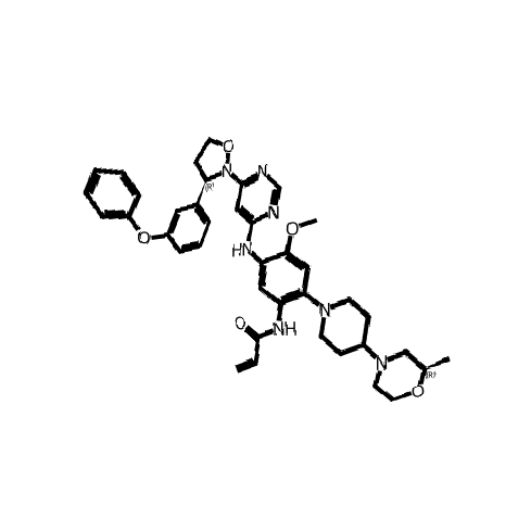 C=CC(=O)Nc1cc(Nc2cc(N3OCC[C@@H]3c3cccc(Oc4ccccc4)c3)ncn2)c(OC)cc1N1CCC(N2CCO[C@H](C)C2)CC1